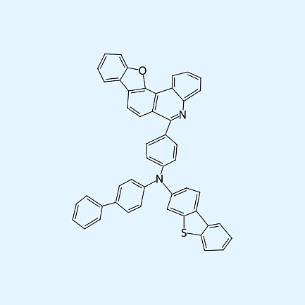 c1ccc(-c2ccc(N(c3ccc(-c4nc5ccccc5c5c4ccc4c6ccccc6oc45)cc3)c3ccc4c(c3)sc3ccccc34)cc2)cc1